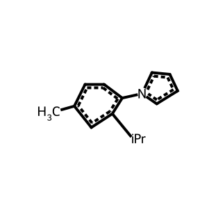 Cc1ccc(-n2cccc2)c(C(C)C)c1